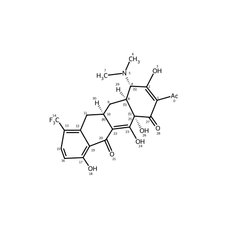 CC(=O)C1=C(O)[C@@H](N(C)C)[C@@H]2C[C@@H]3Cc4c(C(F)(F)F)ccc(O)c4C(=O)C3=C(O)[C@]2(O)C1=O